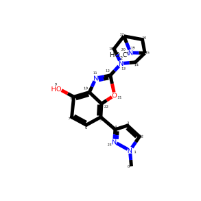 Cn1ccc(-c2ccc(O)c3nc(N4CC5CC(C4)N5C(=O)O)oc23)n1